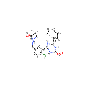 CC1(C)CN(Cc2ccc(Cl)c(-c3nc(O)nc(-c4ccccc4)n3)c2)C1=O